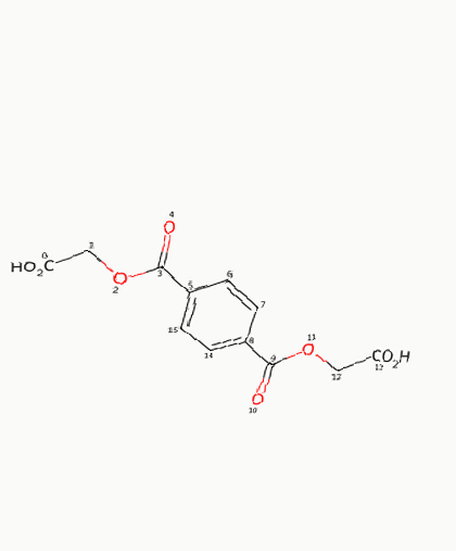 O=C(O)COC(=O)c1ccc(C(=O)OCC(=O)O)cc1